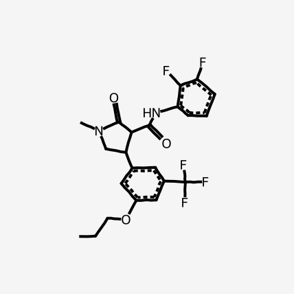 CCCOc1cc(C2CN(C)C(=O)C2C(=O)Nc2cccc(F)c2F)cc(C(F)(F)F)c1